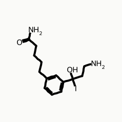 NCCC(O)(I)c1cccc(CCCCC(N)=O)c1